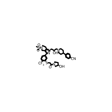 CS(=O)(=O)N1CCc2c(c(-c3ccc(C(F)(F)F)c(SCC(=O)N4CC[C@@H](O)C4)c3)nn2CC(O)CN2CCC(c3ccc(C#N)cc3)CC2)C1